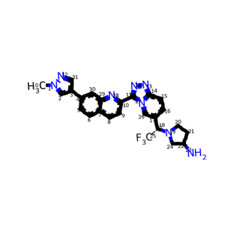 Cn1cc(-c2ccc3ccc(-c4nnc5ccc([C@H](N6CCC(N)C6)C(F)(F)F)cn45)nc3c2)cn1